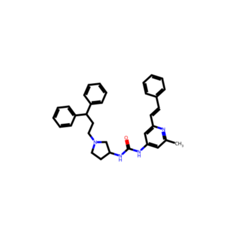 Cc1cc(NC(=O)NC2CCN(CCC(c3ccccc3)c3ccccc3)C2)cc(C=Cc2ccccc2)n1